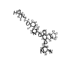 Cc1c(OCCCN2CC[C@@H](O)C2)cccc1-c1ccnc(COc2cc(OCc3cncc(C#N)c3)c(CN3CCCC[C@H]3C)cc2Cl)c1C